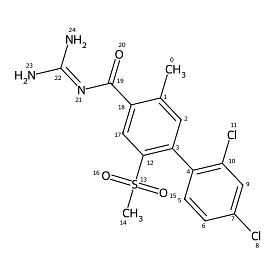 Cc1cc(-c2ccc(Cl)cc2Cl)c(S(C)(=O)=O)cc1C(=O)N=C(N)N